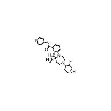 BC1(B)CCN(C2CCNCC2F)CCN1c1cccc(C(=O)Nc2ccncc2)n1